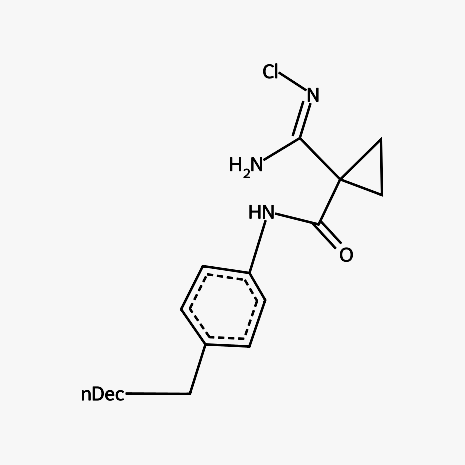 CCCCCCCCCCCc1ccc(NC(=O)C2(/C(N)=N/Cl)CC2)cc1